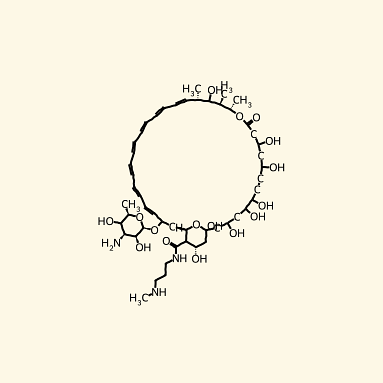 CNCCCNC(=O)C1[C@@H]2CC(O[C@@H]3O[C@H](C)C(O)[C@H](N)[C@@H]3O)/C=C/C=C/C=C/C=C/C=C/C=C/C=C/[C@H](C)C(O)[C@@H](C)[C@H](C)OC(=O)CC(O)CC(O)CCC(O)C(O)CC(O)CC(O)(C[C@@H]1O)O2